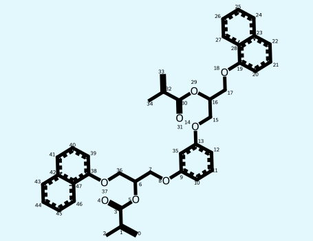 C=C(C)C(=O)OC(COc1cccc(OCC(COc2cccc3ccccc23)OC(=O)C(=C)C)c1)COc1cccc2ccccc12